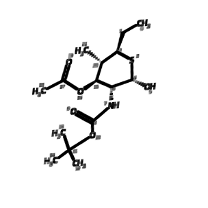 CC[C@H]1S[C@H](O)[C@H](NC(=O)OC(C)(C)C)[C@@H](OC(C)=O)[C@@H]1C